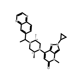 CC(c1ccc2nccnc2c1)N1C[C@H](C)N(c2cc(=O)n(C)c3cn(C4CC4)nc23)C[C@H]1C